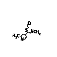 C=N/C=C(\SCC=O)c1ccnc(C)c1